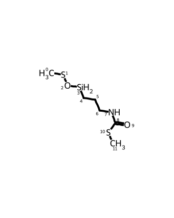 CSO[SiH2]CCCNC(=O)SC